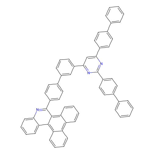 c1ccc(-c2ccc(-c3cc(-c4cccc(-c5ccc(-c6nc7ccccc7c7c8ccccc8c8ccccc8c67)cc5)c4)nc(-c4ccc(-c5ccccc5)cc4)n3)cc2)cc1